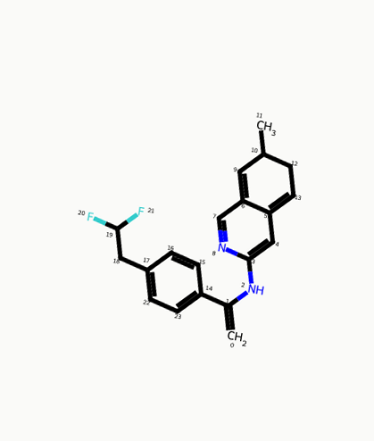 C=C(Nc1cc2c(cn1)=CC(C)CC=2)c1ccc(CC(F)F)cc1